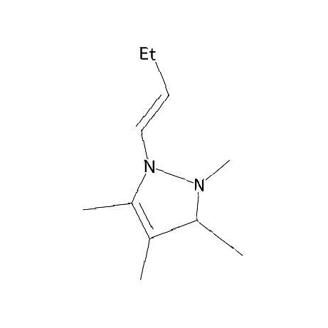 CCC=CN1C(C)=C(C)C(C)N1C